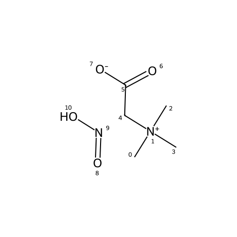 C[N+](C)(C)CC(=O)[O-].O=NO